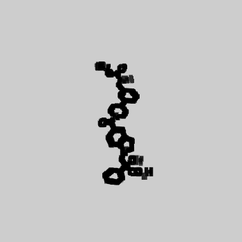 CC(C)(C)OC(=O)NCc1cccc(C2CCN(C(=O)c3ccc4c(c3)CCN4CC(O)(C(=O)O)c3ccccc3)CC2)c1